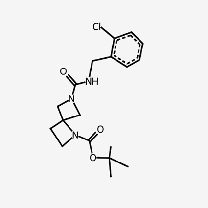 CC(C)(C)OC(=O)N1CCC12CN(C(=O)NCc1ccccc1Cl)C2